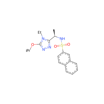 CCn1c(OC(C)C)nnc1[C@@H](C)NS(=O)(=O)c1ccc2ccccc2c1